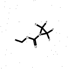 CCOC(=O)N1C(F)(F)C1(F)F